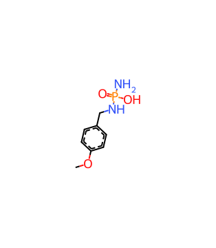 COc1ccc(CNP(N)(=O)O)cc1